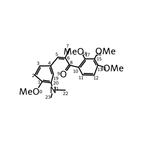 COc1ccc(C=C(C)C(=O)c2ccc(OC)c(OC)c2OC)cc1N(C)C